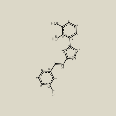 Oc1cccc(-c2nnc(N=Cc3cccc(F)c3)s2)c1O